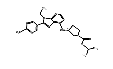 CCn1c(-c2cnc(C)nc2)nc2c(N[C@H]3CCN(C(=O)OC(C)C)C3)ncnc21